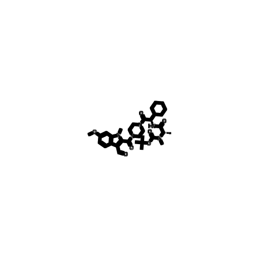 COc1ccc2c(C=O)c(C(=O)N3CCN(C(=O)[C@@H](NC(=O)[C@H](C)N(C)C(=O)OC(C)(C)C)C4CCCCC4)CC3)n(C)c2c1